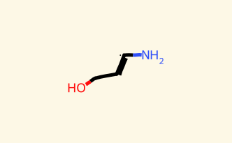 N[C]=CCO